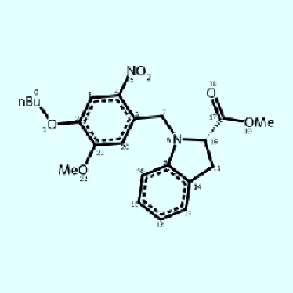 CCCCOc1cc([N+](=O)[O-])c(CN2c3ccccc3C[C@H]2C(=O)OC)cc1OC